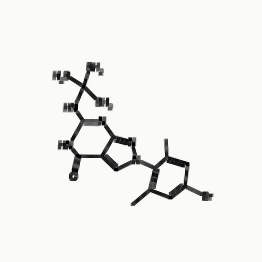 BC(B)(B)Nc1nc2nn(-c3c(C)cc(Br)cc3C)cc2c(=O)[nH]1